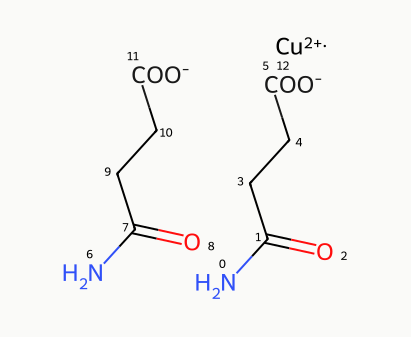 NC(=O)CCC(=O)[O-].NC(=O)CCC(=O)[O-].[Cu+2]